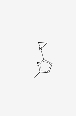 Cc1ccc(N2CC2)s1